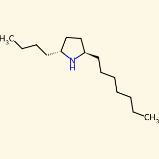 CCCCCCC[C@@H]1CC[C@@H](CCCC)N1